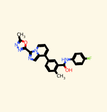 Cc1nnc(-c2ncc3c(-c4ccc(C)c(C(O)Nc5ccc(F)cc5)c4)cccn23)o1